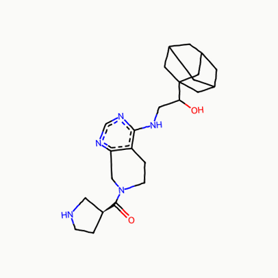 O=C([C@H]1CCNC1)N1CCc2c(ncnc2NCC(O)C23CC4CC(CC(C4)C2)C3)C1